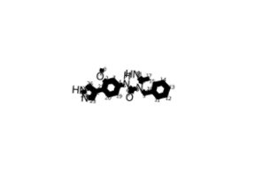 COc1cc(NC(=O)N(Cc2ccccc2)C(C)=N)ccc1-c1cn[nH]c1